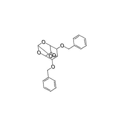 O=C1C2OC3OC1C(OCc1ccccc1)C(O3)C2OCc1ccccc1